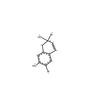 Oc1cc2c(cc1Br)C=CC(O)(Br)C2